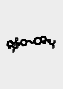 O=C(NC1CCC(CCN2CCc3ccc(OCC(F)F)nc3CC2)CC1)c1cccnc1C(F)F